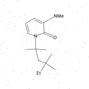 CCC(C)(C)CC(C)(C)n1cccc(NC)c1=O